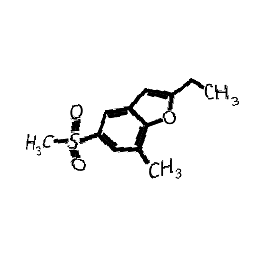 CCc1cc2cc(S(C)(=O)=O)cc(C)c2o1